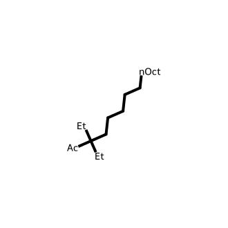 CCCCCCCCCCCCCC(CC)(CC)C(C)=O